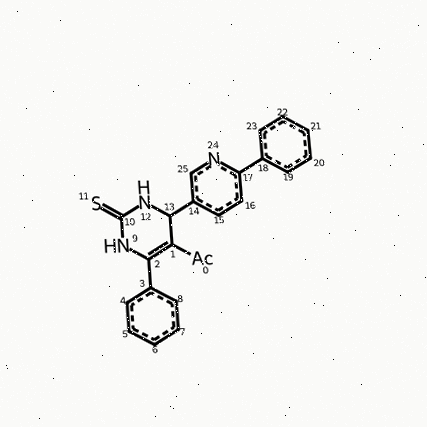 CC(=O)C1=C(c2ccccc2)NC(=S)NC1c1ccc(-c2ccccc2)nc1